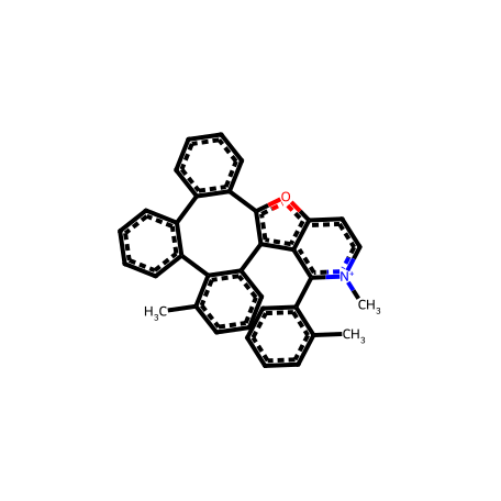 Cc1ccccc1-c1c2c3c(oc2cc[n+]1C)-c1ccccc1-c1ccccc1-c1c(C)cccc1-3